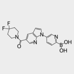 O=C(c1cnc2c(ccn2-c2ccc(B(O)O)nc2)c1)N1CCC(F)(F)CC1